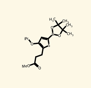 COC(=O)CCc1sc(B2OC(C)(C)C(C)(C)O2)cc1OC(C)C